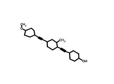 COC1CCC(C#CC2CCC(C#CC3CCC(O)CC3)C(C)C2)CC1